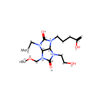 C=C(O)CCCN1C(=O)N(COC)C2C1N(CCO)C(=O)N2COCCCC